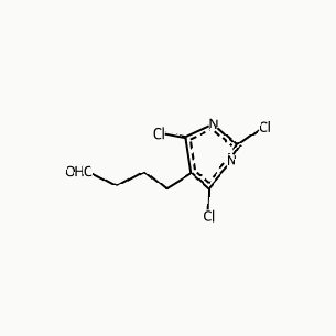 O=CCCCc1c(Cl)nc(Cl)nc1Cl